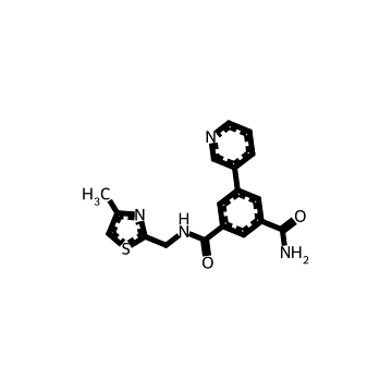 Cc1csc(CNC(=O)c2cc(C(N)=O)cc(-c3cccnc3)c2)n1